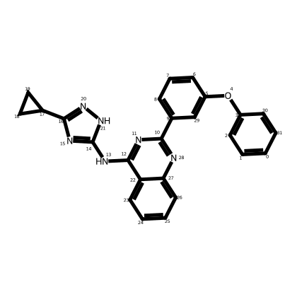 c1ccc(Oc2cccc(-c3nc(Nc4nc(C5CC5)n[nH]4)c4ccccc4n3)c2)cc1